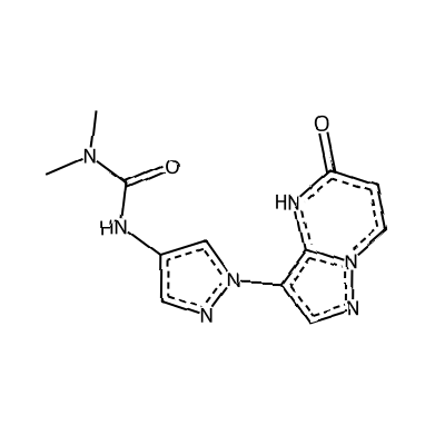 CN(C)C(=O)Nc1cnn(-c2cnn3ccc(=O)[nH]c23)c1